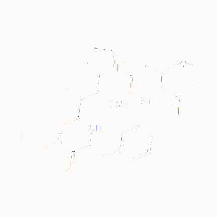 CCONC(=O)C(Cc1ccccc1)NC(=O)C(C)C(OC)C1CCCN1C(=O)CC(OC)C(C(C)CC)N(C)C